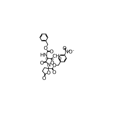 C[C@H]1ON(C2(C(=O)OCc3ccc([N+](=O)[O-])cc3)CCC(=O)O2)C(=O)[C@H]1NC(=O)OCc1ccccc1